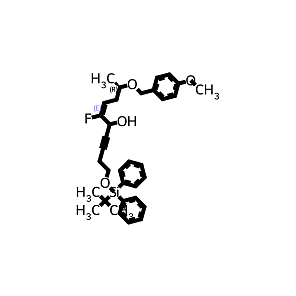 COc1ccc(CO[C@H](C)C/C=C(/F)C(O)C#CCCO[Si](c2ccccc2)(c2ccccc2)C(C)(C)C)cc1